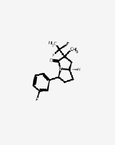 CC(F)(F)C1(C)C[C@H]2CCC(c3cccc(F)c3)N2C1=O